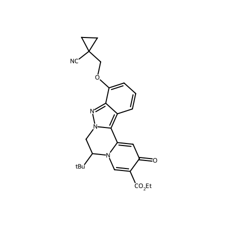 CCOC(=O)c1cn2c(cc1=O)-c1c3cccc(OCC4(C#N)CC4)c3nn1CC2C(C)(C)C